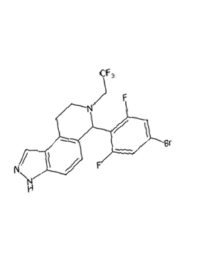 Fc1cc(Br)cc(F)c1C1c2ccc3[nH]ncc3c2CCN1CC(F)(F)F